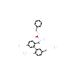 CCC(NC(=O)NCc1ccccc1)c1ccc(C(F)(F)F)cc1-c1cc(CC(=O)O)ccc1OC